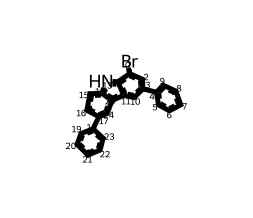 Brc1cc(-c2ccccc2)cc2c1[nH]c1ccc(-c3ccccc3)cc12